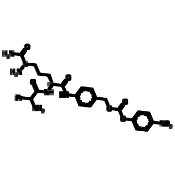 CC(C)C(N)C(=O)N[C@@H](CCCN(N)C(N)=O)C(=O)Nc1ccc(COC(=O)Oc2ccc([N+](=O)[O-])cc2)cc1